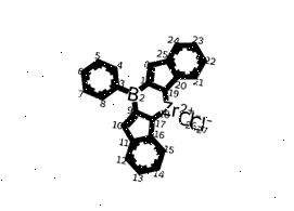 C1=C2B(c3ccccc3)C3=Cc4ccccc4[CH]3[Zr+2][CH]2c2ccccc21.[Cl-].[Cl-]